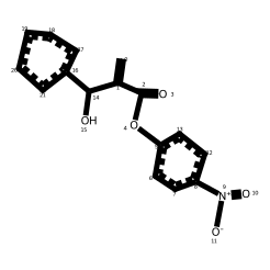 C=C(C(=O)Oc1ccc([N+](=O)[O-])cc1)C(O)c1ccccc1